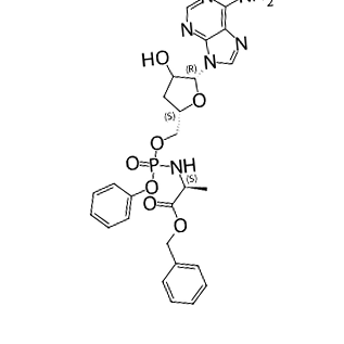 C[C@H](NP(=O)(OC[C@@H]1CC(O)[C@H](n2cnc3c(N)ncnc32)O1)Oc1ccccc1)C(=O)OCc1ccccc1